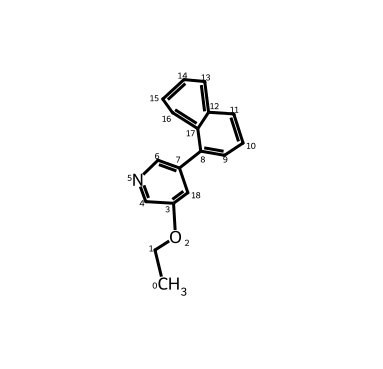 CCOc1cncc(-c2cccc3ccccc23)c1